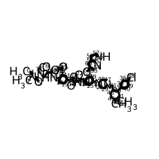 CCN(C)C(=O)N1CCOC(CNc2ccc(S(=O)(=O)NC(=O)c3ccc(N4CCN(CC5=C(c6ccc(Cl)cc6)CC(C)(C)CC5)CC4)cc3Oc3cnc4[nH]ccc4c3)cc2[N+](=O)[O-])C1